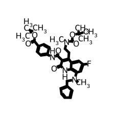 CN(CCc1c(C(=O)Nc2ccc(C(=O)OC(C)(C)C)cc2)c(=O)[nH]c2c(N(C)Cc3ccccc3)cc(F)cc12)C(=O)OC(C)(C)C